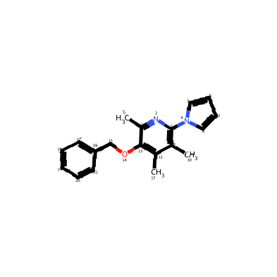 Cc1nc(-n2cccc2)c(C)c(C)c1OCc1ccccc1